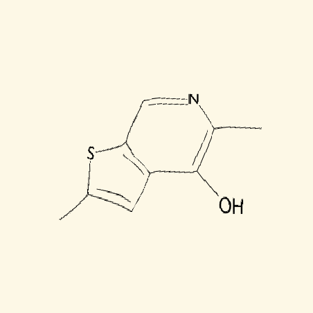 Cc1cc2c(O)c(C)ncc2s1